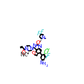 C=CC(=O)N1CCN(c2nc(OC[C@@H]3CC(F)(F)CN3C)nc3cc(-c4cc(N)cc(F)c4Cl)c4ccoc4c23)C[C@@H]1CC#N